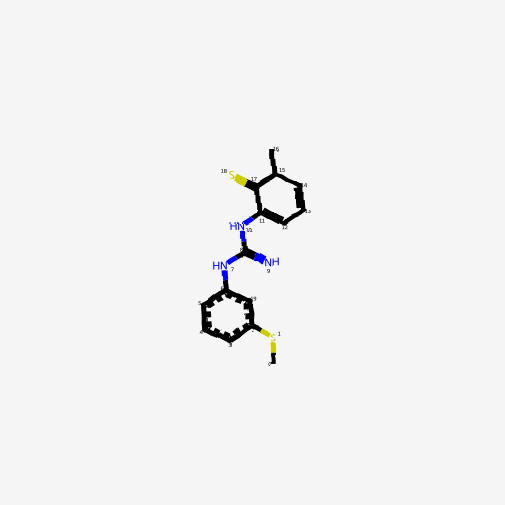 CSc1cccc(NC(=N)NC2=CC=CC(C)C2=S)c1